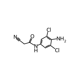 N#CCC(=O)Nc1cc(Cl)c(N)c(Cl)c1